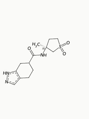 C[C@]1(NC(=O)C2CCc3cn[nH]c3C2)CCS(=O)(=O)C1